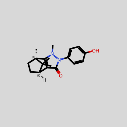 Cn1c2c(c(=O)n1-c1ccc(O)cc1)[C@H]1CC[C@]2(C)C1(C)C